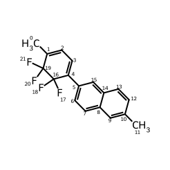 CC1=CC=C(c2ccc3cc(C)ccc3c2)C(F)(F)C1(F)F